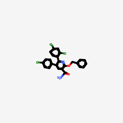 NC(=O)c1cc(-c2ccc(Cl)cc2)c(-c2ccc(Cl)cc2Cl)nc1OCc1ccccc1